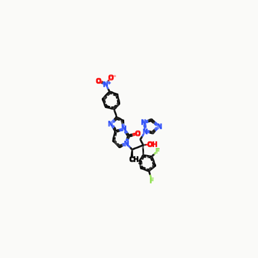 C[C@@H](n1ccc2nc(-c3ccc([N+](=O)[O-])cc3)cn2c1=O)C(O)(Cn1cncn1)c1ccc(F)cc1F